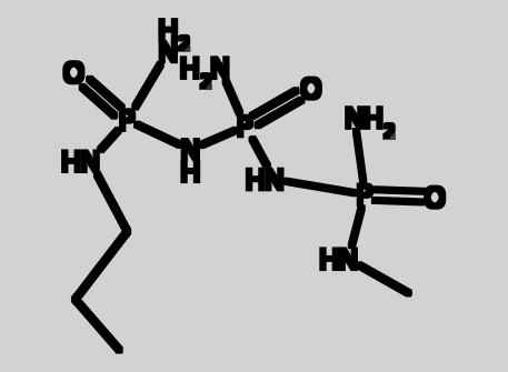 CCCNP(N)(=O)NP(N)(=O)NP(N)(=O)NC